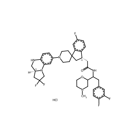 CN1CCOC(C(Cc2ccc(F)c(F)c2)NC(=O)C[C@@H]2CC3(CCN(c4ccc5c(c4)N4CC(F)(F)C[C@H]4CN5)CC3)c3cc(F)ccc32)C1.Cl